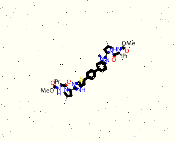 COC(=O)N[C@H](C(=O)N1C[C@@H](C)C[C@H]1c1nc2sc(-c3ccc(-c4ccc5nc([C@@H]6C[C@H](C)CN6C(=O)[C@@H](NC(=O)OC)C(C)C)n(C)c5c4)cc3)cc2[nH]1)C(C)C